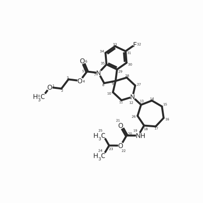 COCCOC(=O)N1CC2(CCN(C3CCCCC(NC(=O)OC(C)C)C3)CC2)c2cc(F)ccc21